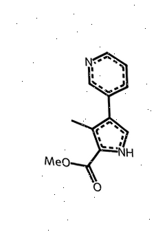 COC(=O)c1[nH]cc(-c2cccnc2)c1C